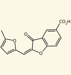 Cc1ccc(C=C2Oc3ccc(C(=O)O)cc3C2=O)o1